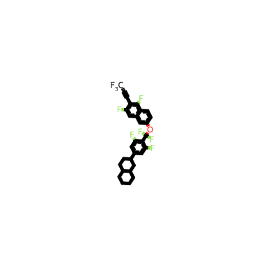 Fc1cc2cc(OC(F)(F)c3c(F)cc(C4CCC5CCCCC5C4)cc3F)ccc2c(F)c1C#CC(F)(F)F